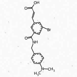 CN(C)c1ccc(CNC(=O)c2cc(Br)cc(/C=C/C(=O)O)c2)cc1